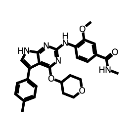 CNC(=O)c1ccc(Nc2nc(OC3CCOCC3)c3c(-c4ccc(C)cc4)c[nH]c3n2)c(OC)c1